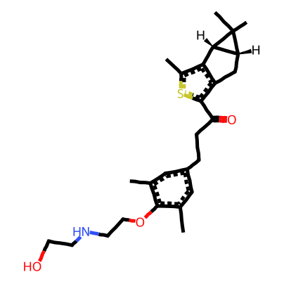 Cc1cc(CCC(=O)c2sc(C)c3c2C[C@@H]2[C@H]3C2(C)C)cc(C)c1OCCNCCO